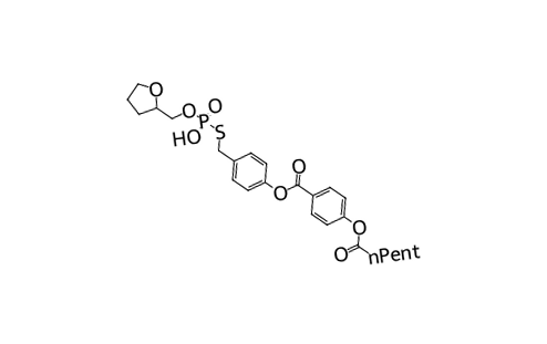 CCCCCC(=O)Oc1ccc(C(=O)Oc2ccc(CSP(=O)(O)OCC3CCCO3)cc2)cc1